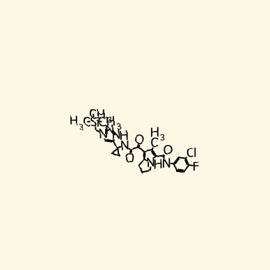 Cc1c(C(=O)C(=O)NC2(c3cn(C[Si](C)(C)C)nn3)CC2)c2n(c1C(=O)Nc1ccc(F)c(Cl)c1)CCC2